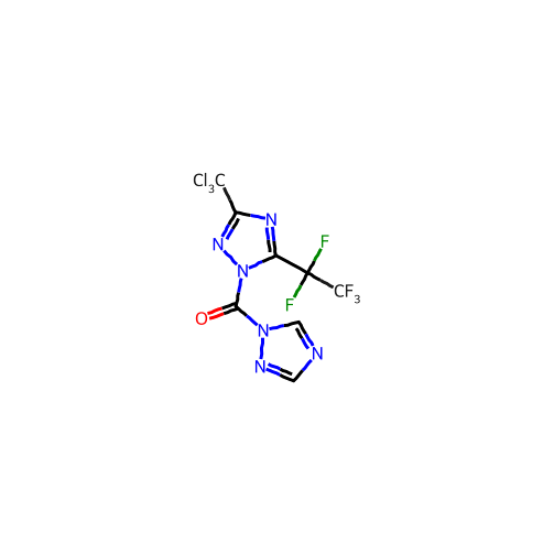 O=C(n1cncn1)n1nc(C(Cl)(Cl)Cl)nc1C(F)(F)C(F)(F)F